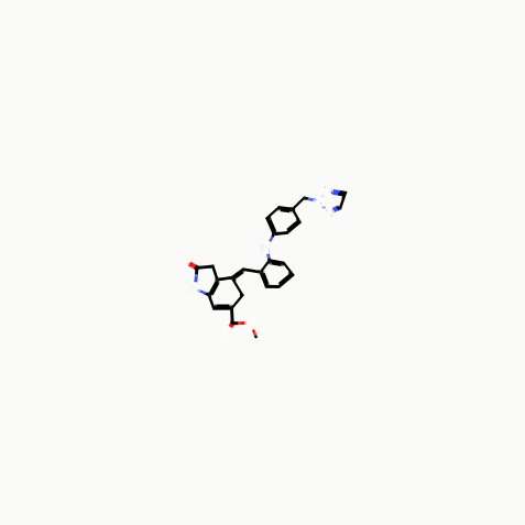 COC(=O)C1=CC2=C(CC(=O)N2)C(=Cc2ccccc2Nc2ccc(Cn3nccn3)cc2)C1